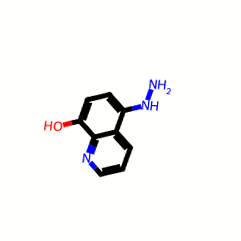 NNc1ccc(O)c2ncccc12